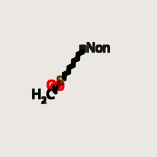 C=CC(=O)OSCCCCCCCCCCCCCCCCCC